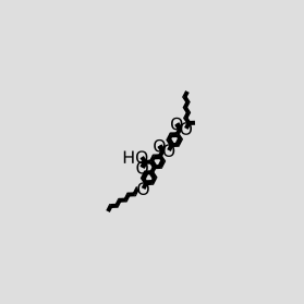 CCCCCCCCOc1ccc(-c2ccc(C(=O)Oc3ccc(C(=O)OC(C)CCCCCC)cc3)cc2C(=O)O)cc1